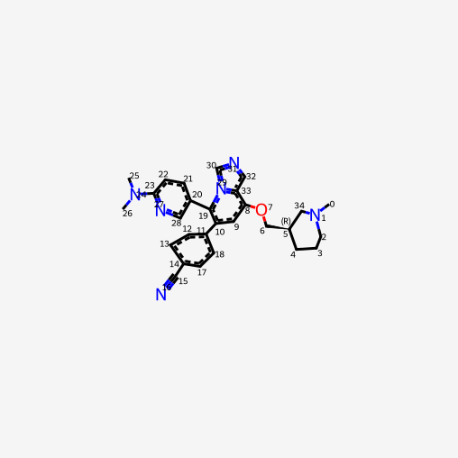 CN1CCC[C@@H](COc2cc(-c3ccc(C#N)cc3)c(-c3ccc(N(C)C)nc3)n3cncc23)C1